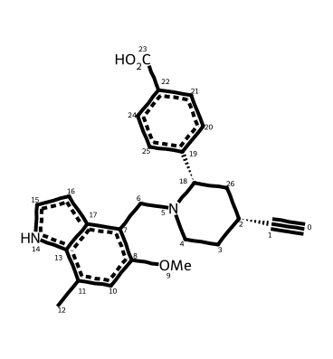 C#C[C@@H]1CCN(Cc2c(OC)cc(C)c3[nH]ccc23)[C@H](c2ccc(C(=O)O)cc2)C1